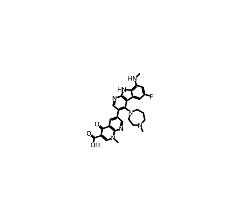 CNc1cc(F)cc2c1[nH]c1ncc(-c3cnc4c(c3)c(=O)c(C(=O)O)cn4C)c(N3CCCN(C)CC3)c12